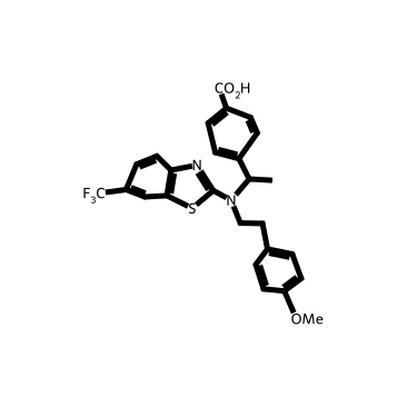 COc1ccc(CCN(c2nc3ccc(C(F)(F)F)cc3s2)C(C)c2ccc(C(=O)O)cc2)cc1